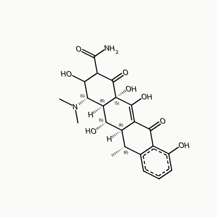 C[C@H]1c2cccc(O)c2C(=O)C2=C(O)[C@]3(O)C(=O)C(C(N)=O)C(O)[C@@H](N(C)C)[C@@H]3[C@@H](O)[C@@H]21